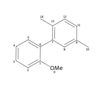 COc1ccccc1-c1cc(C)ccc1C